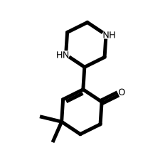 CC1(C)C=C(C2CNCCN2)C(=O)CC1